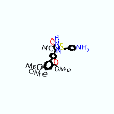 COC(=O)c1cc(OC)c(OC)cc1-c1ccc(-c2nc(SCc3ccc(N)cc3)[nH]c(=O)c2C#N)cc1